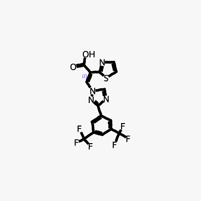 O=C(O)/C(=C/n1cnc(-c2cc(C(F)(F)F)cc(C(F)(F)F)c2)n1)c1nccs1